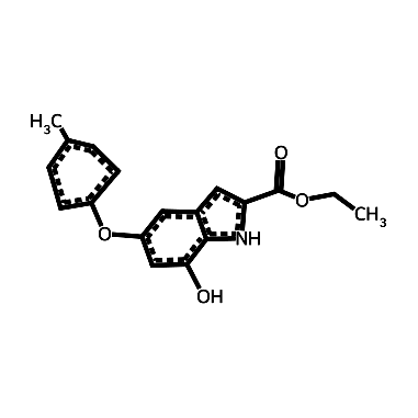 CCOC(=O)c1cc2cc(Oc3ccc(C)cc3)cc(O)c2[nH]1